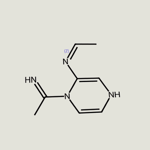 C/C=N\C1=CNC=CN1C(C)=N